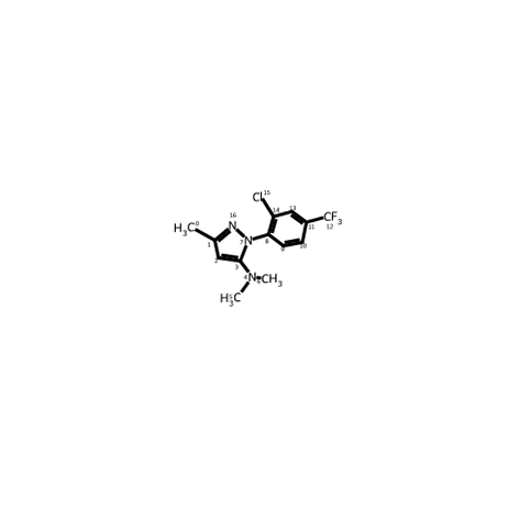 Cc1cc(N(C)C)n(-c2ccc(C(F)(F)F)cc2Cl)n1